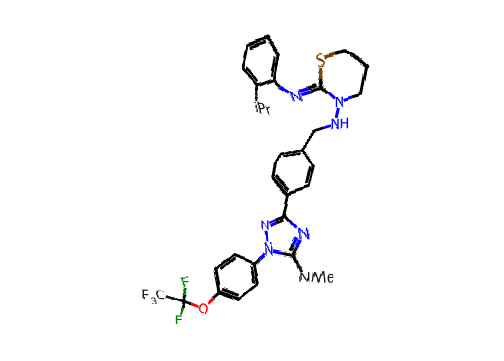 CNc1nc(-c2ccc(CNN3CCCS/C3=N\c3ccccc3C(C)C)cc2)nn1-c1ccc(OC(F)(F)C(F)(F)F)cc1